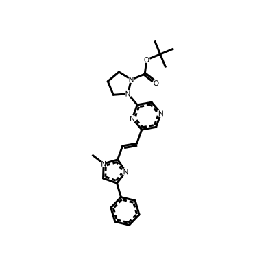 Cn1cc(-c2ccccc2)nc1C=Cc1cncc(N2CCCN2C(=O)OC(C)(C)C)n1